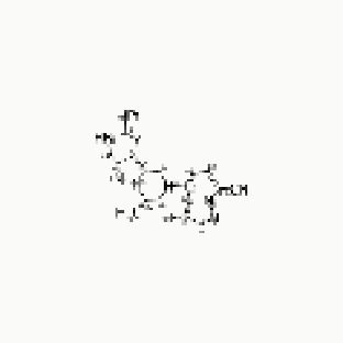 CC(C)C1Cc2c(nn3c2CN(c2ccc(C#N)n4ncc(F)c24)C[C@H]3C)CN1